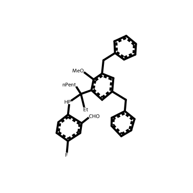 CCCCCC(CC)(Pc1ccc(F)cc1C=O)c1cc(Cc2ccccc2)cc(Cc2ccccc2)c1OC